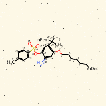 CCCCCCCCCCCCCCCCOc1cc(N)c(OS(=O)(=O)c2ccc(C)cc2)cc1C(C)(C)CCCCC